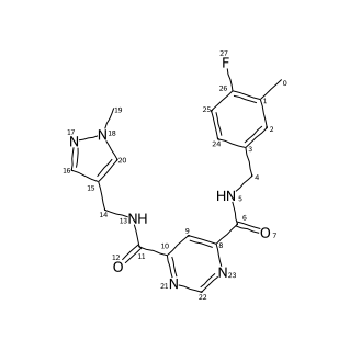 Cc1cc(CNC(=O)c2cc(C(=O)NCc3cnn(C)c3)ncn2)ccc1F